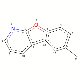 Cc1ccc2oc3ncccc3c2c1